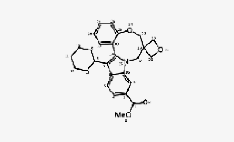 COC(=O)c1ccc2c(C3CCCCC3)c3n(c2c1)CC1(COC1)COc1ccccc1-3